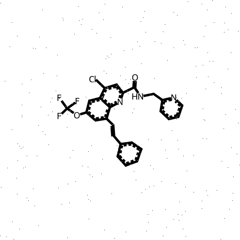 O=C(NCc1ccccn1)c1cc(Cl)c2cc(OC(F)(F)F)cc(/C=C/c3ccccc3)c2n1